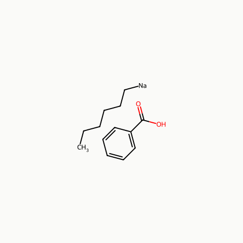 CCCCC[CH2][Na].O=C(O)c1ccccc1